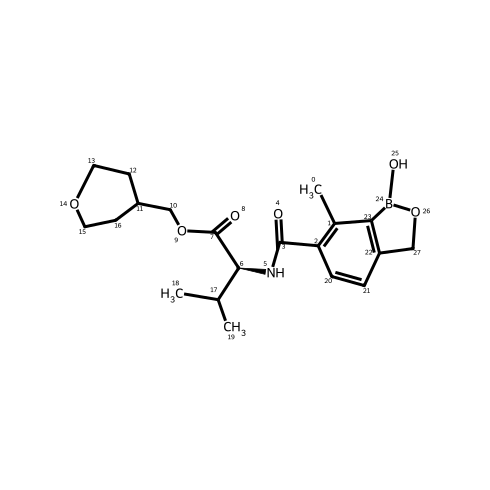 Cc1c(C(=O)N[C@H](C(=O)OCC2CCOCC2)C(C)C)ccc2c1B(O)OC2